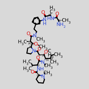 CC[C@H](C)[C@@H]([C@@H](CC(=O)N1CCC[C@H]1[C@H](OC)[C@@H](C)C(=O)N(C)CCc1cccc(NC(=O)[C@H](C)NC(=O)[C@H](C)N)c1)OC)N(C)C(=O)[C@@H](NC(=O)[C@@H]1CCCCN1C)C(C)C